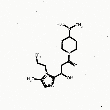 Cc1cnc(C(O)CC(=O)N2CCC(N(C)C)CC2)n1CCC(F)(F)F